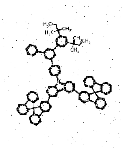 CCC(C)(C)c1cc(-c2cc(-c3ccccc3)cc(-c3ccc(-n4c5ccc(-c6ccc7c(c6)C6(c8ccccc8-c8ccccc86)c6ccccc6-7)cc5c5cc(-c6ccc7c(c6)C6(c8ccccc8-c8ccccc86)c6ccccc6-7)ccc54)cc3)c2)cc(C(C)(C)CC)c1